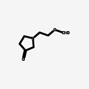 O=COCCN1CCC(=O)C1